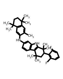 Cc1cc2c(cc1Nc1ccc3c4c([nH]c3c1)C(C)(C)C(c1c(F)cccc1F)CC4(C)C)C(C)(C)CCC2(C)C